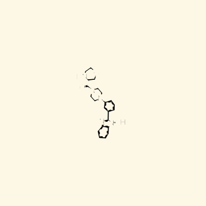 Cn1c(-c2cccc(N3CCN(C(=O)[C@H]4COCCN4)CC3)c2)nc2ccccc21